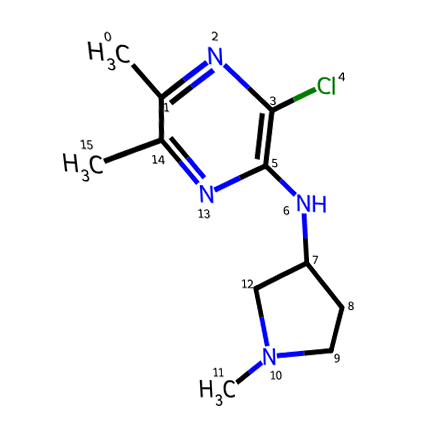 Cc1nc(Cl)c(NC2CCN(C)C2)nc1C